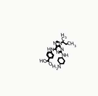 CCC(C)n1cnc2c(Nc3ccc(C(=O)O)cc3)nc(N[C@H]3CC[C@H](N)CC3)nc21